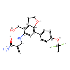 C=C(CNc1cc(-c2ccc(OC(C)(F)F)cc2)c2c(c1CO)CCO2)C(N)=O